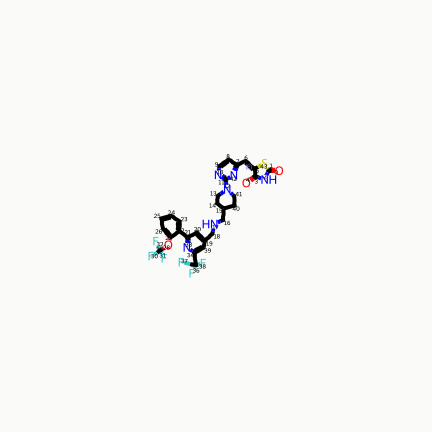 O=C1NC(=O)/C(=C\c2ccnc(N3CCC(CNCc4cc(-c5ccccc5OC(F)(F)F)nc(C(F)(F)F)c4)CC3)n2)S1